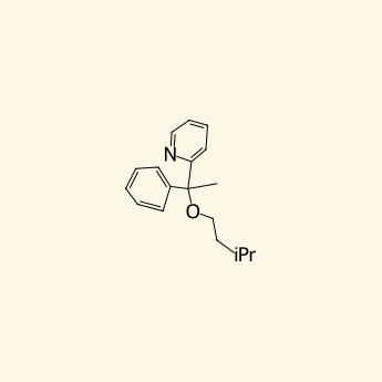 CC(C)CCOC(C)(c1ccccc1)c1ccccn1